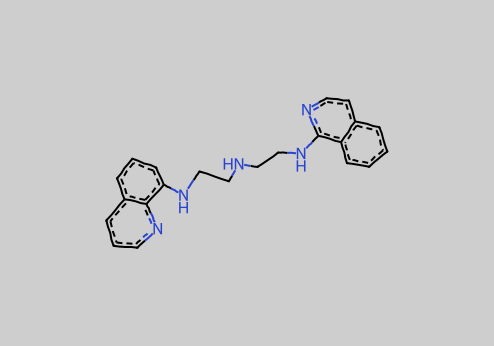 c1ccc2c(NCCNCCNc3cccc4cccnc34)nccc2c1